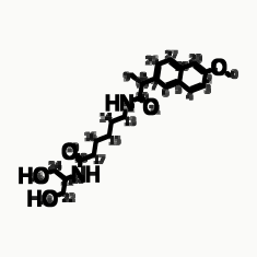 COc1ccc2cc([C@H](C)C(=O)NCCCCCC(=O)NC(CO)CO)ccc2c1